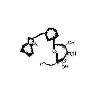 OC[C@H]1OC(c2cccc(Cc3cc4ccccc4s3)c2)[C@H](O)[C@@H](O)[C@@H]1O